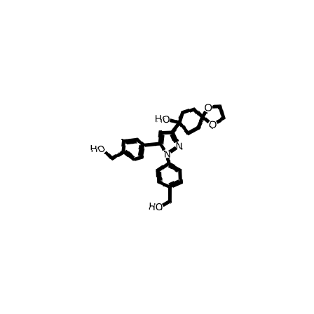 OCc1ccc(-c2cc(C3(O)CCC4(CC3)OCCO4)nn2-c2ccc(CO)cc2)cc1